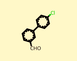 O=Cc1cccc(-c2ccc(Cl)cc2)c1